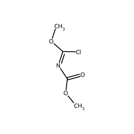 COC(=O)/N=C(\Cl)OC